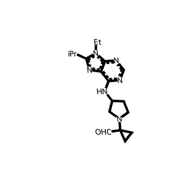 CCn1c(C(C)C)nc2c(NC3CCN(C4(C=O)CC4)C3)ncnc21